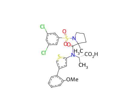 COc1ccccc1-c1csc(N(C(=O)C2(C)CCCN2S(=O)(=O)c2cc(Cl)cc(Cl)c2)[C@@H](C)C(=O)O)c1